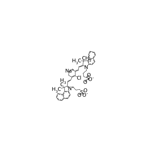 CC1(C)C(=CC=C2CCCC(C=CC3=[N+](CCCS(=O)(=O)[O-])c4ccc5ccccc5c4C3(C)C)=C2Cl)N(CCCS(=O)(=O)[O-])c2ccc3ccccc3c21.[Na+]